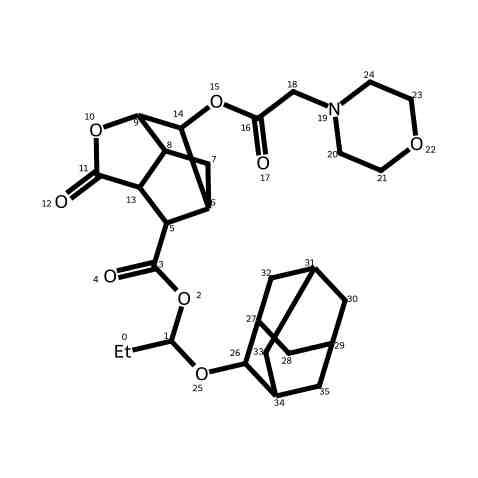 CCC(OC(=O)C1C2CC3C(OC(=O)C31)C2OC(=O)CN1CCOCC1)OC1C2CC3CC(C2)CC1C3